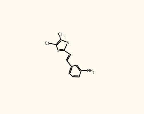 CCc1nc(C=Cc2cccc(N)c2)sc1C